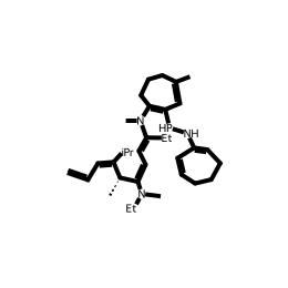 C=C/C=C(/C(C)C)[C@@H](C)/C(=C\C=C(/CC)N(C)C1=C(PNC2=CCCCC=C2)C=C(C)CCC1)N(C)CC